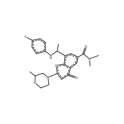 CC1CN(c2cc(=O)c3cc(C(=O)N(C)C)cc(C(C)Nc4ccc(F)cc4)c3o2)CCO1